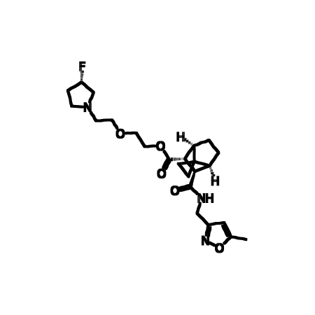 Cc1cc(CNC(=O)[C@H]2[C@H](C(=O)OCCOCCN3CC[C@H](F)C3)[C@H]3CC[C@@H]2C32CC2)no1